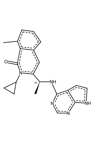 Cc1cccc2cc([C@H](C)Nc3ncnc4[nH]ccc34)n(C3CC3)c(=O)c12